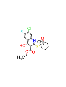 CCOC(=O)c1c(SC2(C)CCCCC2=O)nc2cc(Cl)c(F)cc2c1O